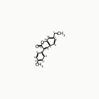 CCc1ccc2cc(-c3ccc(C)cc3)c(=O)oc2c1